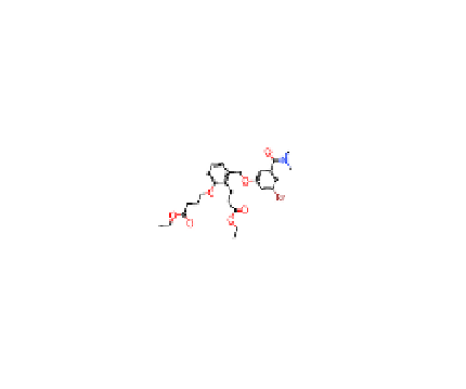 CCOC(=O)CCCOc1cccc(COc2cc(Br)cc(C(=O)N(C)C)c2)c1CCC(=O)OCC